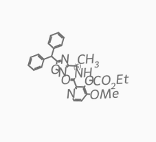 CCOC(=O)Oc1c(OC)ccnc1C(=O)N[C@@H](C)c1noc(C(c2ccccc2)c2ccccc2)n1